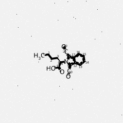 CCCC[C@H](C(=O)O)n1c(=C=O)c2ccccc2c1=C=O